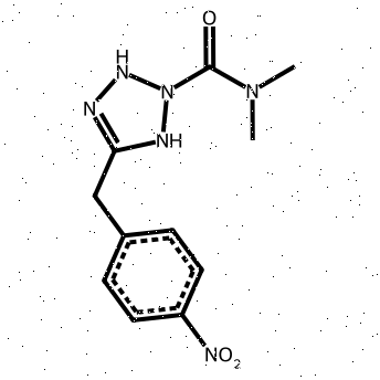 CN(C)C(=O)N1NN=C(Cc2ccc([N+](=O)[O-])cc2)N1